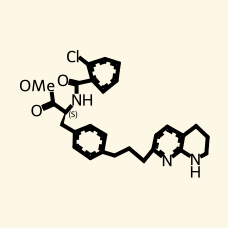 COC(=O)[C@H](Cc1ccc(CCCc2ccc3c(n2)NCCC3)cc1)NC(=O)c1ccccc1Cl